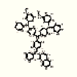 COc1cccc(N(c2ccccc2)c2ccc3c(c2)c2cc(N(c4ccccc4)c4cccc(OC)c4)ccc2n3-c2ccc(N(c3ccccc3)c3ccc4ccccc4c3)cc2)c1